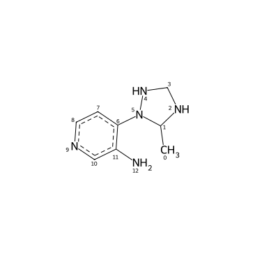 CC1NCNN1c1ccncc1N